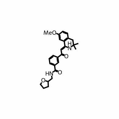 COc1ccc2c(c1)/C(=C/C(=O)c1cccc(C(=O)NCC3CCCO3)c1)NC(C)(C)C2